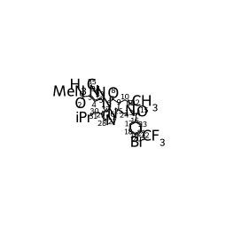 CNC(=O)c1cc(N2C(=O)C3C[C@@H](C)N(C(=O)c4ccc(Br)c(C(F)(F)F)c4)CC3n3ncc(CC(C)C)c32)nn1C